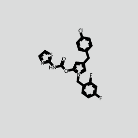 O=C(Nc1nccs1)Oc1cc(Cc2ccc(Cl)cc2)cn1Cc1ccc(F)cc1F